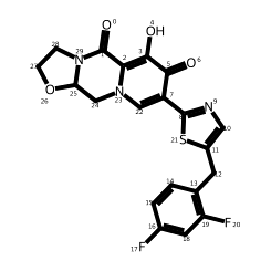 O=C1c2c(O)c(=O)c(-c3ncc(Cc4ccc(F)cc4F)s3)cn2CC2OCCN12